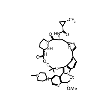 CCn1c(-c2cc(N3CCN(C)CC3)cnc2[C@H](C)OC)c2c3cc(ccc31)-c1csc(n1)C[C@H](NC(=O)[C@H]1C[C@@H]1C(F)(F)F)C(=O)N1CCC[C@H](N1)C(=O)OCC(C)(C)C2